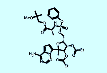 CCC(=O)O[C@H]1[C@@H](OC(=O)CC)[C@](C)(c2ccc3c(N)ncnn23)O[C@@H]1COP(=O)(N[C@@H](C)C(=O)OCC(C)(C)OC)Oc1ccccc1